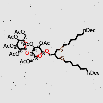 CCCCCCCCCCCCCCCCSCC(CO[C@@H]1O[C@H](COC(C)=O)[C@H](O[C@H]2O[C@H](COC(C)=O)[C@H](OC(C)=O)[C@H](OC(C)=O)[C@H]2OC(C)=O)[C@H](OC(C)=O)[C@H]1OC(C)=O)CSCCCCCCCCCCCCCCCC